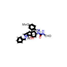 COc1ccc(C)c([C@]23CC4CN(Cc5ccccc5)[C@H]4[C@]2(O)CC[C@H](NC(=O)NC=O)C3)c1